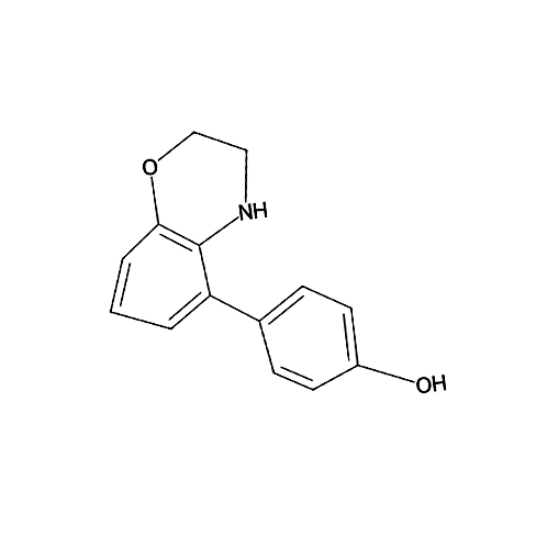 Oc1ccc(-c2cccc3c2NCCO3)cc1